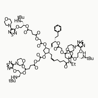 CCNC(=O)CCC/C=C\C[C@@H]1[C@@H](/C=C/[C@H](CCc2ccccc2)OC(=O)COC(=O)CCC(=O)O[C@@H](CNC(C)(C)C)COc2nsnc2N2CCOCC2)[C@H](OC(=O)COC(=O)CCC(=O)O[C@@H](CNC(C)(C)C)COc2nsnc2N2CCOCC2)C[C@@H]1OC(=O)COC(=O)CCC(=O)O[C@@H](CNC(C)(C)C)COc1nsnc1N1CCOCC1